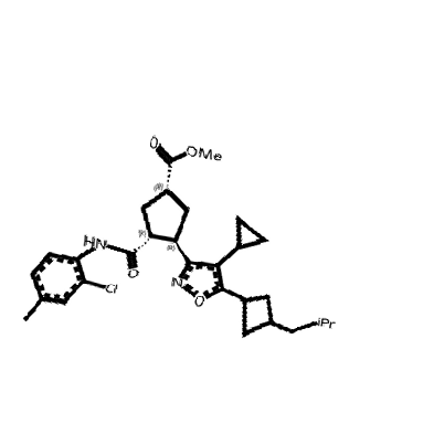 COC(=O)[C@H]1C[C@@H](C(=O)Nc2ccc(C)cc2Cl)[C@H](c2noc(C3CC(CC(C)C)C3)c2C2CC2)C1